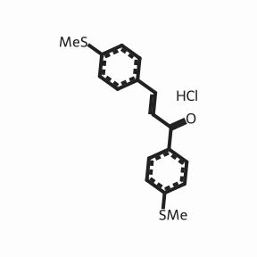 CSc1ccc(/C=C/C(=O)c2ccc(SC)cc2)cc1.Cl